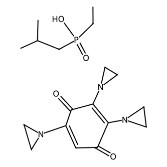 CCP(=O)(O)CC(C)C.O=C1C=C(N2CC2)C(=O)C(N2CC2)=C1N1CC1